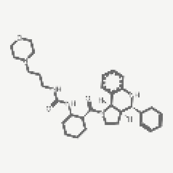 O=C(NCCCN1CCOCC1)N[C@@H]1CCCC[C@@H]1C(=O)N1CC[C@@H]2[C@H](C3C=CC=CC3)Nc3ccccc3[C@@H]21